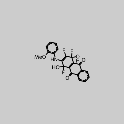 COc1ccccc1NC1=C(F)C(O)(F)C2=C(C(=O)c3ccccc3C2=O)C1(O)F